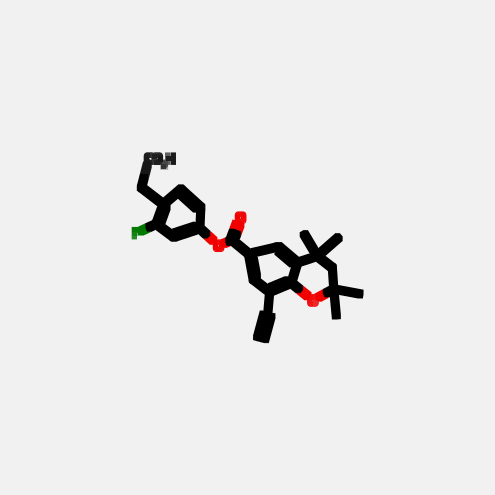 C#Cc1cc(C(=O)Oc2ccc(CC(=O)O)c(F)c2)cc2c1OC(C)(C)CC2(C)C